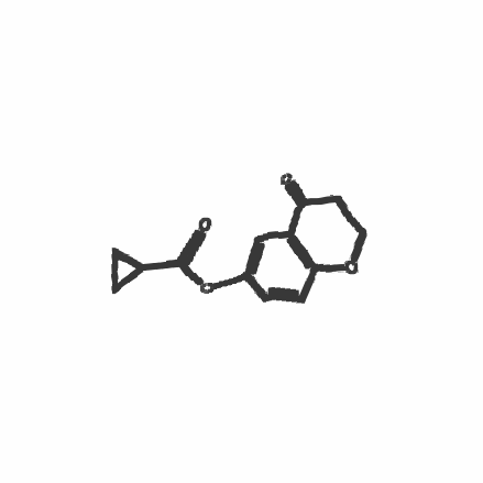 O=C1CCOc2ccc(OC(=O)C3CC3)cc21